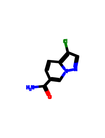 NC(=O)c1ccc2c(Cl)cnn2c1